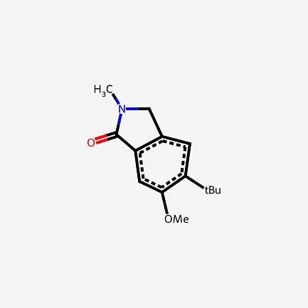 COc1cc2c(cc1C(C)(C)C)CN(C)C2=O